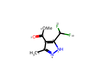 COC(=O)c1c(C)n[nH]c1C(F)F